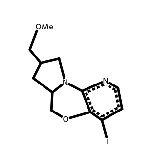 COCC1CC2COc3c(I)ccnc3N2C1